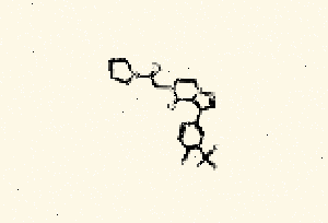 O=C(Cn1ccn2ncc(-c3ccc(F)c(C(F)(F)F)c3)c2c1=O)N1CCCC1